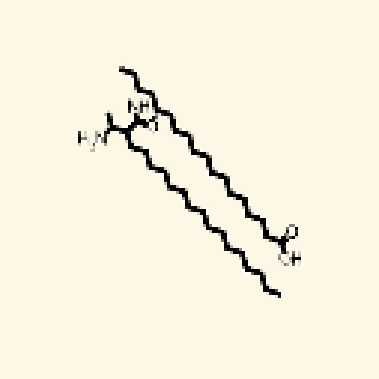 CCCCCCCCCCCCCCCCC(C(N)=O)C(C)N.CCCCCCCCCCCCCCCCCC(=O)O